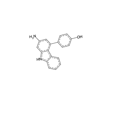 Nc1cc(-c2ccc(O)cc2)c2c(c1)[nH]c1ccccc12